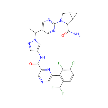 CC(c1cnc(N2CC3CC3C2C(N)=O)nc1)n1cc(NC(=O)c2cncc(-c3c(C(F)F)ccc(Cl)c3F)n2)cn1